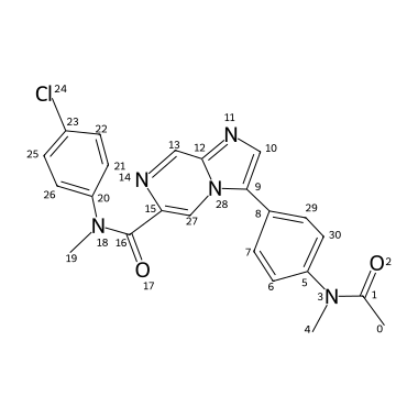 CC(=O)N(C)c1ccc(-c2cnc3cnc(C(=O)N(C)c4ccc(Cl)cc4)cn23)cc1